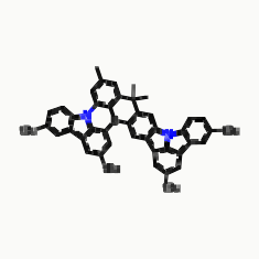 Cc1cc2c3c(c1)C(C)(C)c1cc4c(cc1B3c1cc(C(C)(C)C)cc3c5cc(C(C)(C)C)ccc5n-2c13)c1cc(C(C)(C)C)cc2c3cc(C(C)(C)C)ccc3n4c21